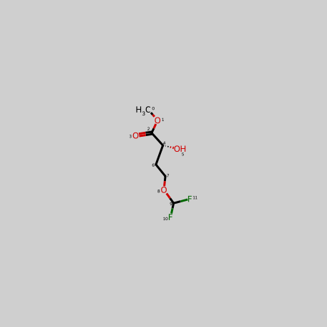 COC(=O)[C@H](O)CCOC(F)F